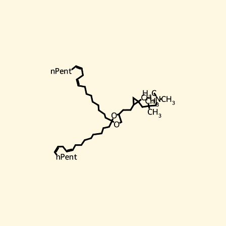 CCCCC/C=C\C/C=C\CCCCCCCCC1(CCCCCCCC/C=C\C/C=C\CCCCC)OCC(CCC2CC2(C)CC(C)(C)CN(C)C)O1